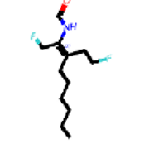 CCCCCC/C(CCF)=C(\CF)NC=O